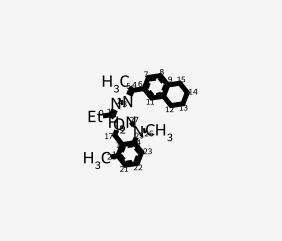 CCC(=NN=C(C)c1ccc2c(c1)CCCC2)OCc1c(C)cccc1N(C)N